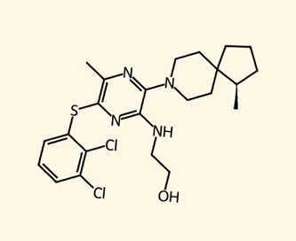 Cc1nc(N2CCC3(CCC[C@H]3C)CC2)c(NCCO)nc1Sc1cccc(Cl)c1Cl